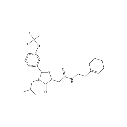 CC(C)CN1C(=O)C(CC(=O)NCCC2=CCCCC2)SC1c1cccc(OC(F)(F)F)c1